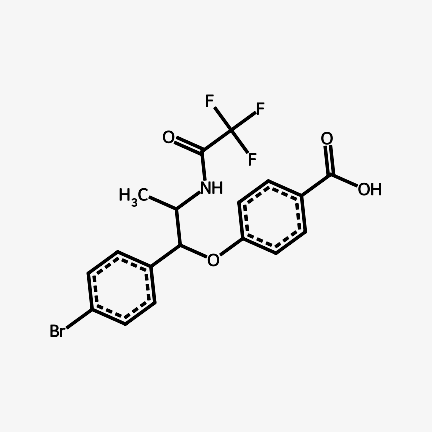 CC(NC(=O)C(F)(F)F)C(Oc1ccc(C(=O)O)cc1)c1ccc(Br)cc1